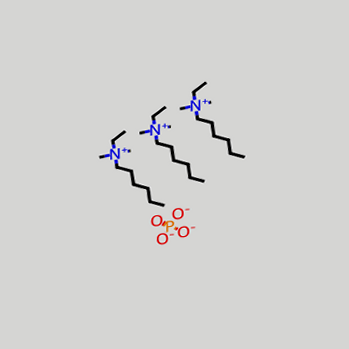 CCCCCC[N+](C)(C)CC.CCCCCC[N+](C)(C)CC.CCCCCC[N+](C)(C)CC.O=P([O-])([O-])[O-]